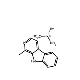 CC(C)[C@H](N)C(=O)O.Cc1nccc2c1[nH]c1ccccc12